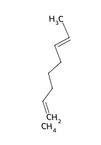 C.C=CCCCC=CC